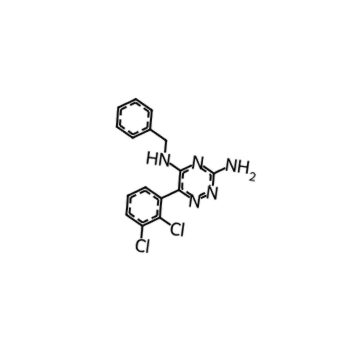 Nc1nnc(-c2cccc(Cl)c2Cl)c(NCc2ccccc2)n1